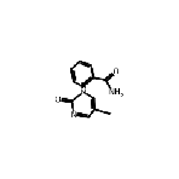 Cc1cnc(=O)[nH]c1.NC(=O)c1ccccc1